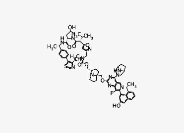 CCc1cccc2cc(O)cc(-c3ncc4c(N5CC6CCC(C5)N6)nc(OC[C@@]56CCCN5[C@H](COC(=O)N(C)Cc5cc([C@H](C(=O)N7C[C@H](O)C[C@H]7C(=O)N[C@@H](C)c7ccc(-c8scnc8C)cc7)C(C)C)on5)CC6)nc4c3F)c12